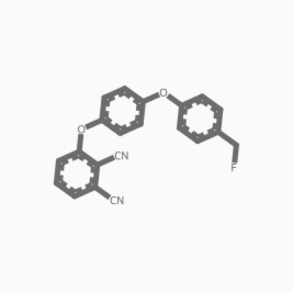 N#Cc1cccc(Oc2ccc(Oc3ccc(CF)cc3)cc2)c1C#N